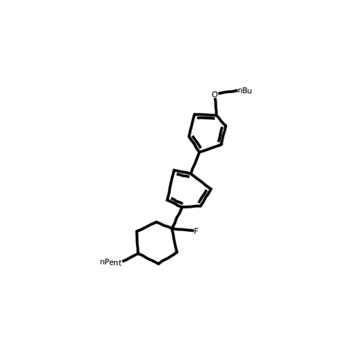 CCCCCC1CCC(F)(c2ccc(-c3ccc(OCCCC)cc3)cc2)CC1